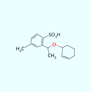 Cc1ccc(S(=O)(=O)O)c(C(C)OC2C=CCCC2)c1